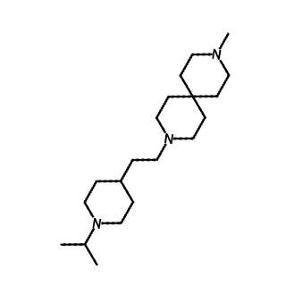 CC(C)N1CCC(CCN2CCC3(CCN(C)CC3)CC2)CC1